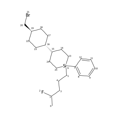 CC(F)CCC[Si]1(c2ccccc2)CCC([C@H]2CC[C@H](CBr)CC2)CC1